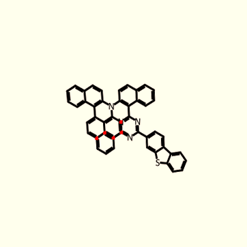 c1ccc(-c2nc(-c3ccc4c(c3)sc3ccccc34)nc(-c3c(N4c5ccc6ccccc6c5-c5cccc6cccc4c56)ccc4ccccc34)n2)cc1